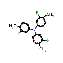 Cc1ccc(N(c2ccc(C)c(F)c2)c2ccc(C)c(F)c2)cc1F